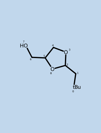 CC(C)(C)CC1OCC(CO)O1